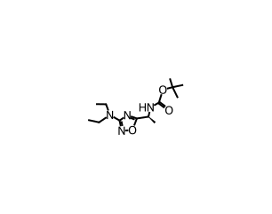 CCN(CC)c1noc([C@H](C)NC(=O)OC(C)(C)C)n1